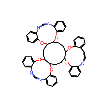 C1=Cc2ccccc2OC2CCC3Oc4ccccc4N=C=Nc4ccccc4OC3CCC3Oc4ccccc4N=C=Nc4ccccc4OC3CCC2Oc2ccccc2N=1